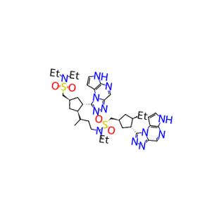 CC[C@@H]1C[C@H](CS(=O)(=O)N(CC)CCC(C)[C@H]2C[C@@H](CS(=O)(=O)N(CC)CC)C[C@@H]2c2nnc3cnc4[nH]ccc4n23)C[C@H]1c1nnc2cnc3[nH]ccc3n12